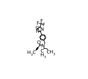 CC#CC(=O)N(Cc1ccc(-c2noc(C(F)(F)F)n2)cc1)C(C)CC